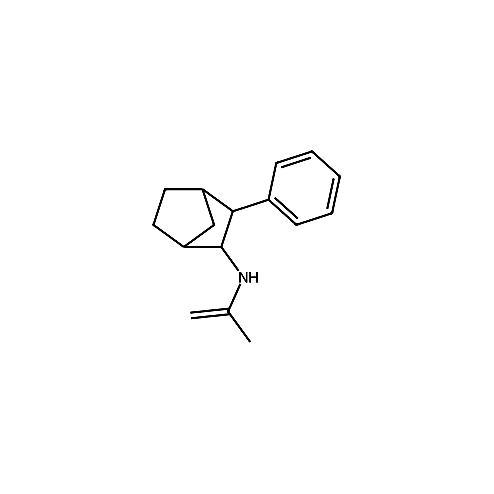 C=C(C)NC1C2CCC(C2)C1c1ccccc1